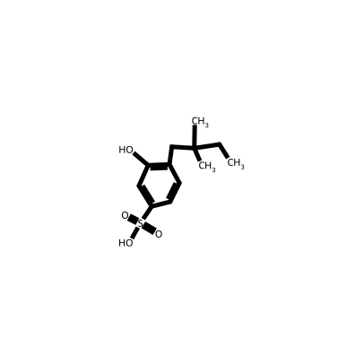 CCC(C)(C)Cc1ccc(S(=O)(=O)O)cc1O